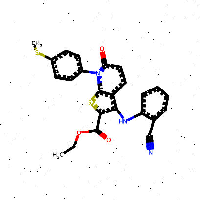 CCOC(=O)c1sc2c(ccc(=O)n2-c2ccc(SC)cc2)c1Nc1ccccc1C#N